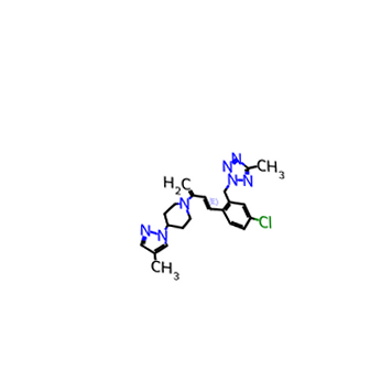 C=C(/C=C/c1ccc(Cl)cc1Cn1nnc(C)n1)N1CCC(n2cc(C)cn2)CC1